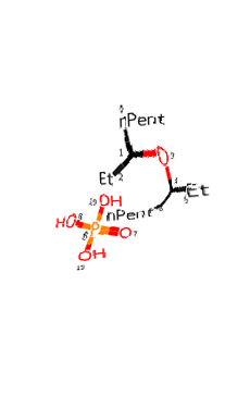 CCCCCC(CC)OC(CC)CCCCC.O=P(O)(O)O